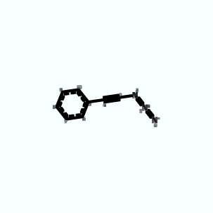 [N-]=[N+]=NC#Cc1ccccc1